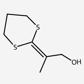 CC(CO)=C1SCCCS1